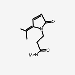 CNC(=O)CCN1C(=O)C=CC1=C(C)C